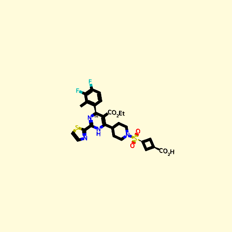 CCOC(=O)C1=C(C2CCN(S(=O)(=O)[C@H]3C[C@H](C(=O)O)C3)CC2)NC(c2nccs2)=N[C@H]1c1ccc(F)c(F)c1C